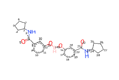 O=C(NC1CCCC1)c1cccc(OBOc2cccc(C(=O)NC3CCCC3)c2)c1